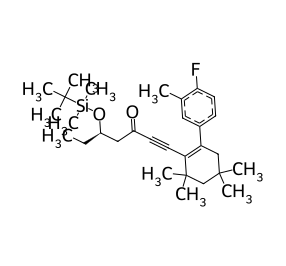 CC[C@H](CC(=O)C#CC1=C(c2ccc(F)c(C)c2)CC(C)(C)CC1(C)C)O[Si](C)(C)C(C)(C)C